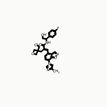 Cc1cn(-c2ccc(/C=C(\CC3(CCl)COC3)C(=O)NC(CO)c3ccc(F)cc3)c3cnoc23)cn1